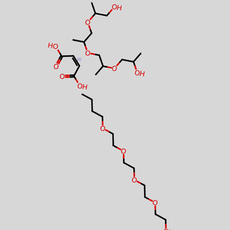 CC(O)COC(C)COC(C)COC(C)CO.CCCCOCCOCCOCCOCCO.O=C(O)/C=C\C(=O)O